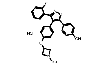 CCC(C)N1CC(Oc2ccc(-c3c(-c4ccccc4Cl)noc3-c3ccc(O)cc3)cc2)C1.Cl